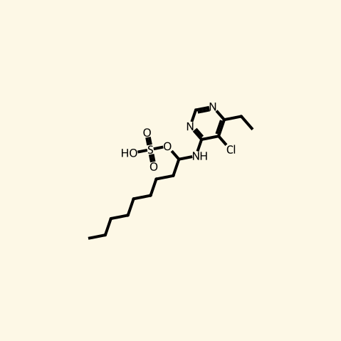 CCCCCCCCC(Nc1ncnc(CC)c1Cl)OS(=O)(=O)O